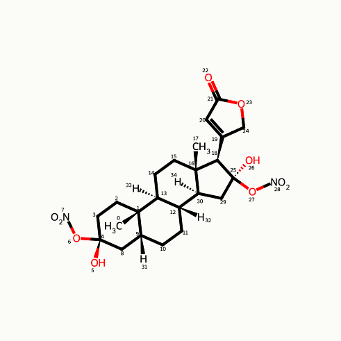 C[C@]12CC[C@@](O)(O[N+](=O)[O-])C[C@H]1CC[C@@H]1[C@@H]2CC[C@]2(C)[C@@H](C3=CC(=O)OC3)[C@@](O)(O[N+](=O)[O-])C[C@@H]12